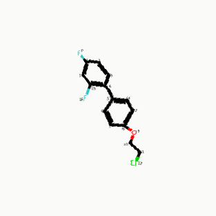 Fc1ccc(-c2ccc(OCCCl)cc2)c(F)c1